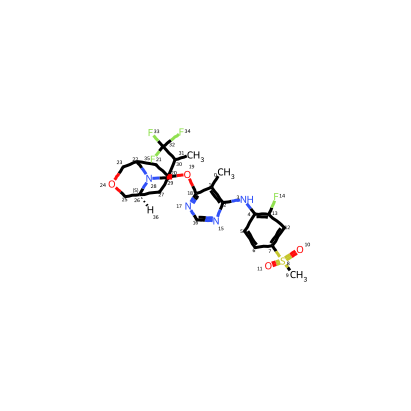 Cc1c(Nc2ccc(S(C)(=O)=O)cc2F)ncnc1OC1CC2COC[C@H](C1)N2CC(C)C(F)(F)F